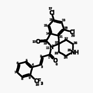 O=C(/C=C/c1ccccc1C(F)(F)F)N1C(=O)c2cc(Cl)cc(Cl)c2C12CCNCC2